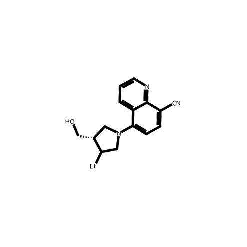 CCC1CN(c2ccc(C#N)c3ncccc23)C[C@H]1CO